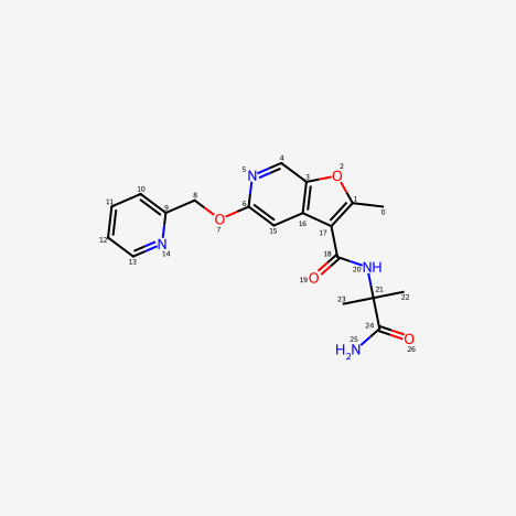 Cc1oc2cnc(OCc3ccccn3)cc2c1C(=O)NC(C)(C)C(N)=O